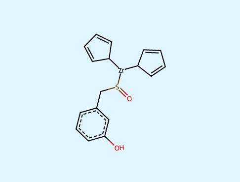 O=[S](Cc1cccc(O)c1)[Zr]([CH]1C=CC=C1)[CH]1C=CC=C1